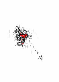 COC(=O)[C@H]1O[C@@H](O[C@H]2[C@H](OS(=O)(=O)OC)[C@@H](OS(=O)(=O)OC)[C@@H](O[C@H]3[C@H](OC)[C@@H](OC)[C@H](O[C@H]4[C@H](OS(=O)(=O)OC)[C@@H](OS(=O)(=O)OC)[C@@H](OC)O[C@@H]4COS(=O)(=O)OC)O[C@H]3C(=O)OC)O[C@@H]2COS(=O)(=O)OC)[C@H](OC)[C@@H](OC)[C@@H]1O[C@H]1O[C@H](COS(=O)(=O)OC)[C@@H](OCCOCCOCCOCCNC(=O)CCCN2C(=O)CC(C)C2=O)[C@H](OC)[C@H]1OC